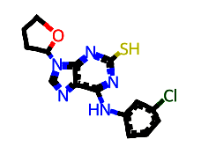 Sc1nc(Nc2cccc(Cl)c2)c2ncn(C3CCCO3)c2n1